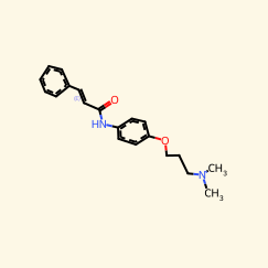 CN(C)CCCOc1ccc(NC(=O)/C=C/c2ccccc2)cc1